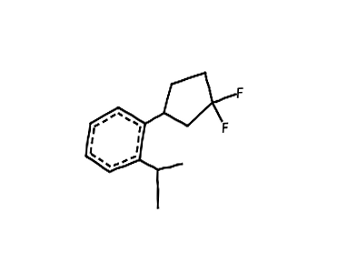 CC(C)c1ccccc1C1CCC(F)(F)C1